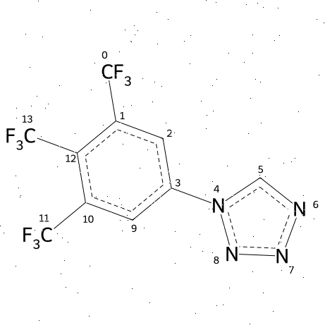 FC(F)(F)c1cc(-n2cnnn2)cc(C(F)(F)F)c1C(F)(F)F